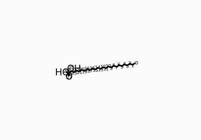 CCCCCCCCCCCCCCCCCCCCCCCC[C@@H](O)C(=O)O